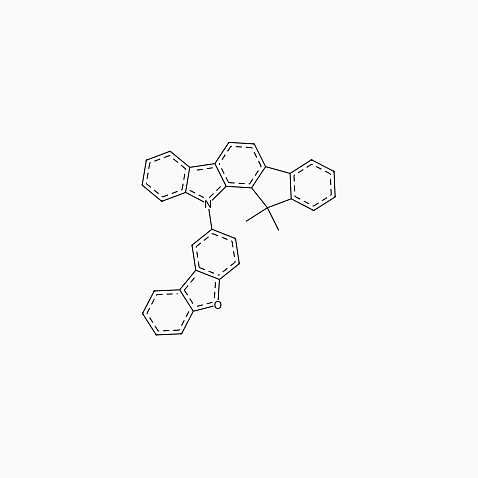 CC1(C)c2ccccc2-c2ccc3c4ccccc4n(-c4ccc5oc6ccccc6c5c4)c3c21